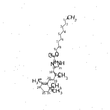 CCCCCCCCCCOC(=O)c1nc(C=C(C)C=CC2=C(C)CCCC2(C)C)c[nH]1